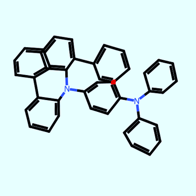 c1ccc(-c2ccccc2N(c2ccc(N(c3ccccc3)c3ccccc3)cc2)c2ccccc2-c2ccccc2)cc1